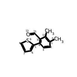 Cc1ccc(-c2cccs2)c(C=O)c1C